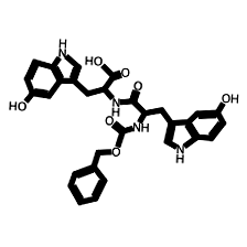 O=C(NC(Cc1c[nH]c2ccc(O)cc12)C(=O)NC(Cc1c[nH]c2ccc(O)cc12)C(=O)O)OCc1ccccc1